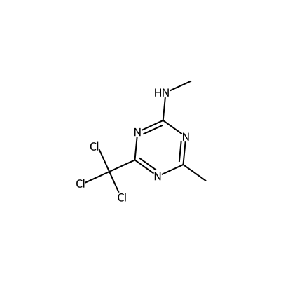 CNc1nc(C)nc(C(Cl)(Cl)Cl)n1